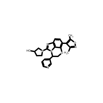 Cc1noc(C)c1-c1ccc2nc(N3CCC(O)C3)n3c2c1OCC3c1cccnc1